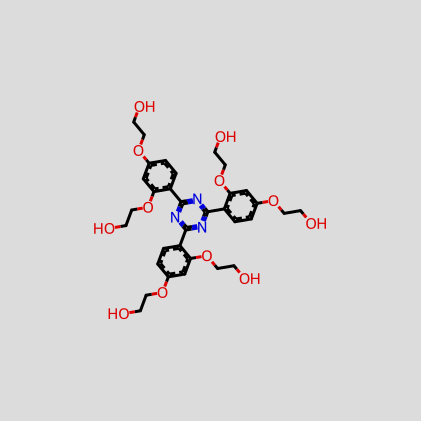 OCCOc1ccc(-c2nc(-c3ccc(OCCO)cc3OCCO)nc(-c3ccc(OCCO)cc3OCCO)n2)c(OCCO)c1